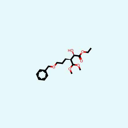 CCOC(=O)[C@H](O)[C@H](CCCOCc1ccccc1)C(OC)OC